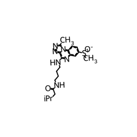 Cc1nnc2c(NCCCCNC(=O)CC(C)C)nc3cc([S+](C)[O-])ccc3n12